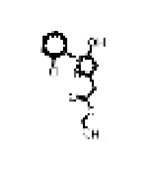 CCOC(=O)Cc1cc(O)n(-c2ccccc2Cl)n1